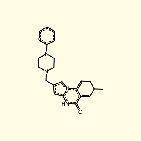 CC1C=c2c(=O)[nH]c3cc(CN4CCN(c5ccccn5)CC4)cn3c2=CC1